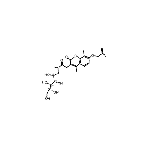 C=C(C)COc1ccc2c(C)c(CC(=O)N(C)C[C@H](O)[C@H](O)[C@H](O)[C@H](O)CO)c(=O)oc2c1C